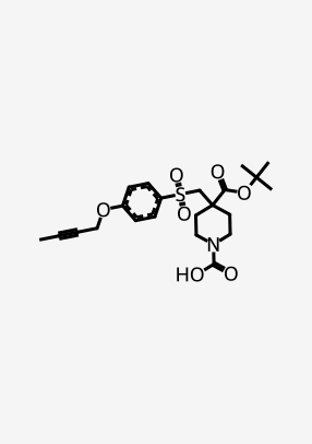 CC#CCOc1ccc(S(=O)(=O)CC2(C(=O)OC(C)(C)C)CCN(C(=O)O)CC2)cc1